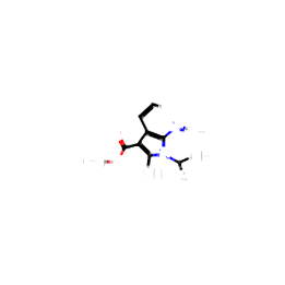 C=Nc1c(/C=C\C)c(C(=O)OC(C)(C)C)c(C)n1C(C)C(C)=O